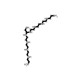 NCCNCCNCCNCCNC(CN)NCCNCCNCCNCCN